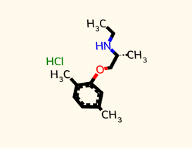 CCN[C@H](C)COc1cc(C)ccc1C.Cl